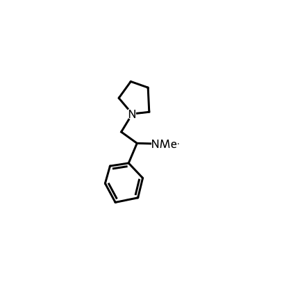 C[N]C(CN1CCCC1)c1ccccc1